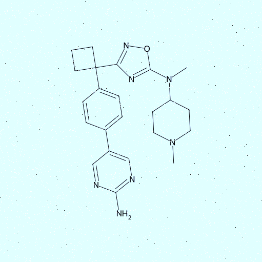 CN1CCC(N(C)c2nc(C3(c4ccc(-c5cnc(N)nc5)cc4)CCC3)no2)CC1